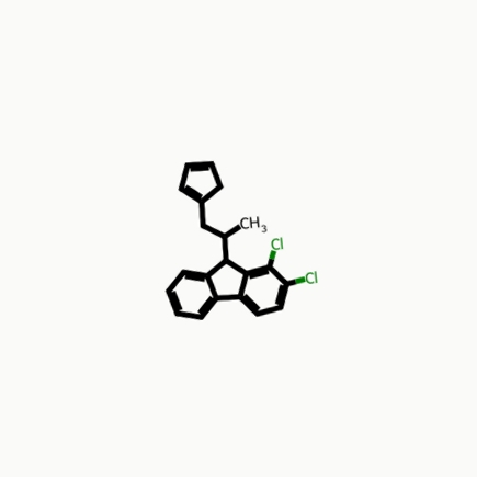 CC(CC1=CC=CC1)C1c2ccccc2-c2ccc(Cl)c(Cl)c21